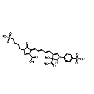 O=C(O)C1=NN(CCCCS(=O)(=O)O)C(=O)/C1=C/C=C/C=C/C1=CN(c2ccc(S(=O)(=O)O)cc2)NC1(O)C(=O)O